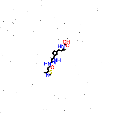 Cc1ncsc1CC(=O)Nc1cc(C2CCC(CC[C@H](C)NC(=O)O)C2)[nH]n1